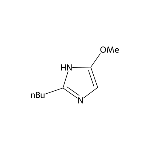 CCCCc1ncc(OC)[nH]1